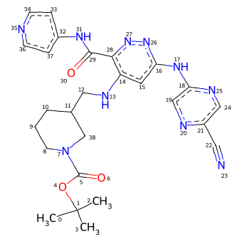 CC(C)(C)OC(=O)N1CCCC(CNc2cc(Nc3cnc(C#N)cn3)nnc2C(=O)Nc2ccncc2)C1